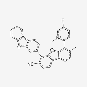 Cc1ccc2c(oc3c(-c4ccc5c(c4)oc4ccccc45)c(C#N)ccc32)c1-c1ccc(F)c[n+]1C